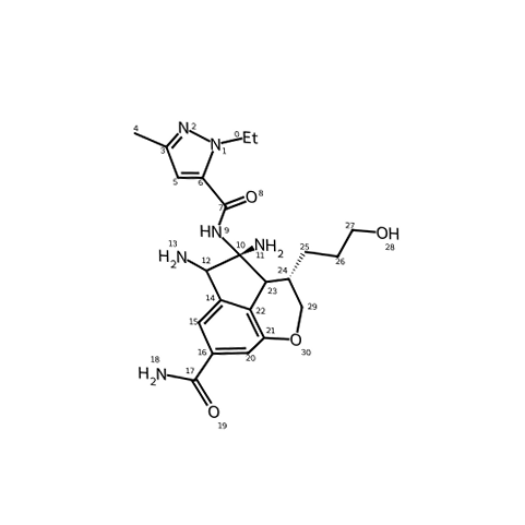 CCn1nc(C)cc1C(=O)N[C@@]1(N)C(N)c2cc(C(N)=O)cc3c2C1[C@H](CCCO)CO3